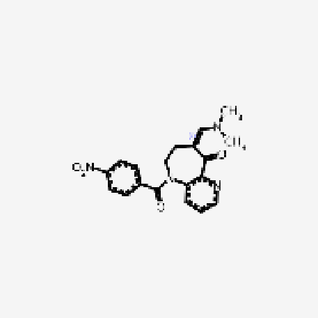 CN(C)/C=C1/CCN(C(=O)c2ccc([N+](=O)[O-])cc2)c2cccnc2C1=O